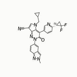 Cn1cc2cc(-n3nc4c(C#N)cn(CC5CC5)c4c(-c4ccc([C@@H]5CC5(F)F)nc4)c3=O)ccc2n1